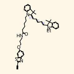 C#Cc1nc2ccc(OCCCNC(=O)CCCCCN3/C(=C/C=C/C=C/C4=[N+](CC)c5ccccc5C4(C)C)C(C)(C)c4ccccc43)cc2s1